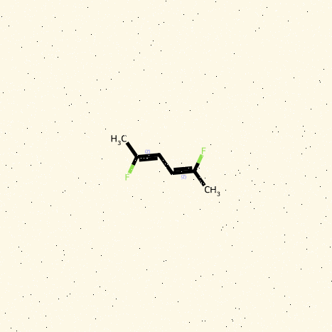 C/C(F)=C/C=C(/C)F